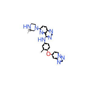 Cc1cc(Nc2ncnc3ccc(N4CCN[C@@H](C)C4)nc23)ccc1Oc1ccn2ncnc2c1